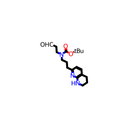 CC(C)(C)OC(=O)N(CCC=O)CCCc1ccc2c(n1)NCCC2